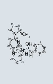 OC(Nc1ccccn1)N1c2nc(N3CCC[C@H]3C(F)(F)F)ccc2N2CCC[C@H]1C2